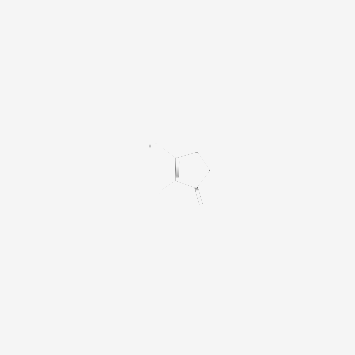 CCCC1=C(O)C(=O)CC1